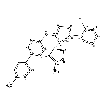 Cc1ccc(-c2cnc3c(c2)[C@]2(COC(N)=N2)c2cc(-c4cccnc4F)ccc2O3)cn1